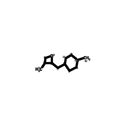 CC1COC1CC1CCN(C)CC1